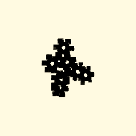 c1ccc2cc3c(cc2c1)c1cc2c4ccccc4n4c5ccccc5c(c1n3-c1ncc3ncccc3n1)c24